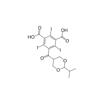 CC(C)C1OCC(C(=O)c2c(I)c(C(=O)O)c(I)c(C(=O)O)c2I)CO1